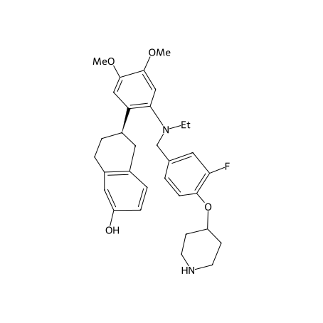 CCN(Cc1ccc(OC2CCNCC2)c(F)c1)c1cc(OC)c(OC)cc1[C@@H]1CCc2cc(O)ccc2C1